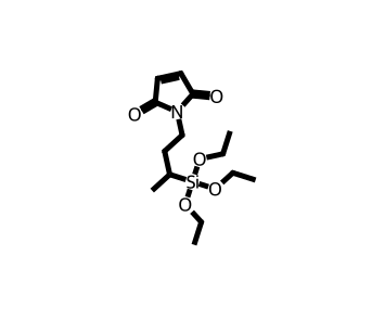 CCO[Si](OCC)(OCC)C(C)CCN1C(=O)C=CC1=O